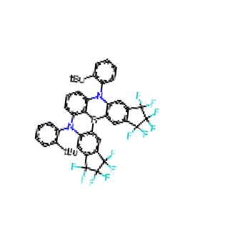 CC(C)(C)c1ccccc1N1c2cc3c(cc2B2c4cc5c(cc4N(c4ccccc4C(C)(C)C)c4cccc1c42)C(F)(F)C(F)(F)C5(F)F)C(F)(F)C(F)(F)C3(F)F